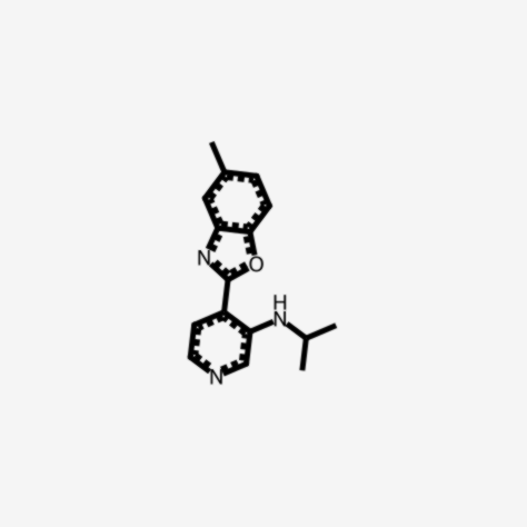 Cc1ccc2oc(-c3ccncc3NC(C)C)nc2c1